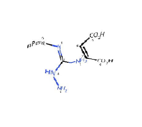 CCCCCN=C(N)NN.O=C(O)/C=C\C(=O)O